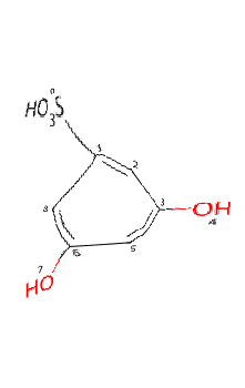 O=S(=O)(O)c1cc(O)cc(O)c1